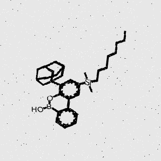 CCCCCCCC[Si](C)(C)c1cc2c(c(C34CC5CC(CC(C5)C3)C4)c1)OB(O)c1ccccc1-2